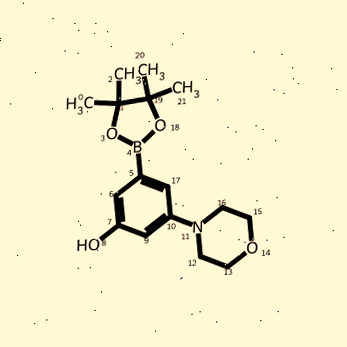 CC1(C)OB(c2cc(O)cc(N3CCOCC3)c2)OC1(C)C